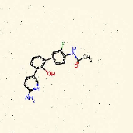 CC(=O)Nc1ccc(-c2cccc(-c3ccc(N)nc3)c2O)cc1F